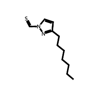 CCCCCCCc1ccn(C=S)n1